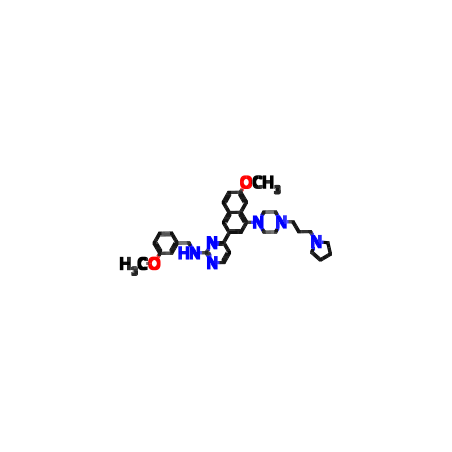 COc1cccc(CNc2nccc(-c3cc(N4CCN(CCCN5CCCC5)CC4)c4cc(OC)ccc4c3)n2)c1